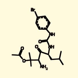 CC(=O)OC(C)(C)C(N)C(=O)[C@H](CC(C)C)NC(=O)Nc1ccc(Br)cc1